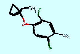 CC1(Oc2cc(Br)c([N+](=O)[O-])cc2F)CC1